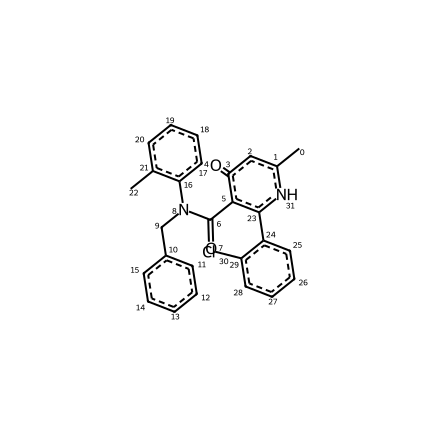 Cc1cc(=O)c(C(=O)N(Cc2ccccc2)c2ccccc2C)c(-c2ccccc2Cl)[nH]1